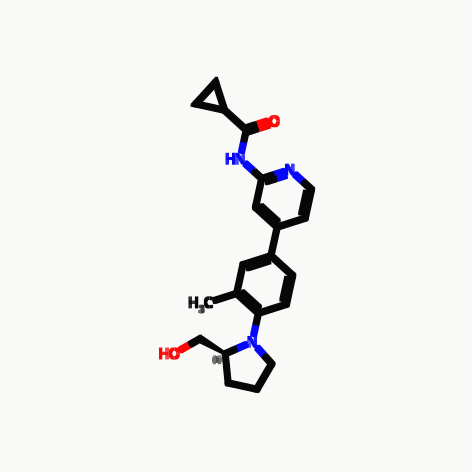 Cc1cc(-c2ccnc(NC(=O)C3CC3)c2)ccc1N1CCC[C@H]1CO